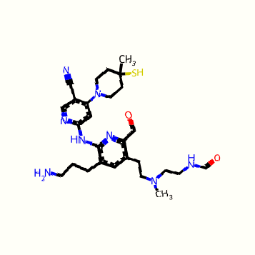 CN(CCNC=O)CCc1cc(CCCN)c(Nc2cc(N3CCC(C)(S)CC3)c(C#N)cn2)nc1C=O